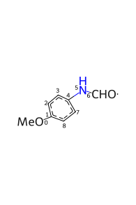 COc1ccc(N[C]=O)cc1